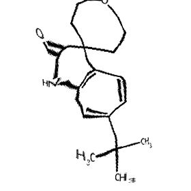 CC(C)(C)c1ccc2c(c1)NC(=O)C21CCOCC1